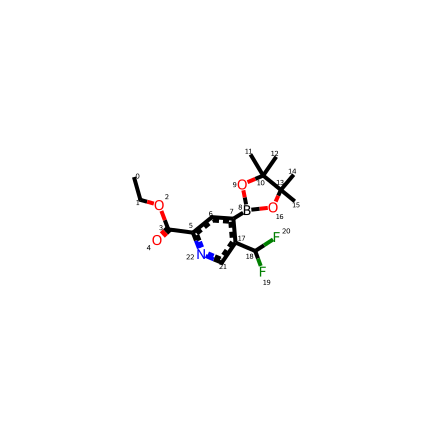 CCOC(=O)c1cc(B2OC(C)(C)C(C)(C)O2)c(C(F)F)cn1